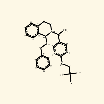 CC(c1cnc(OCC(F)(F)F)nc1)N1CCc2ccccc2C1SCc1ccccc1